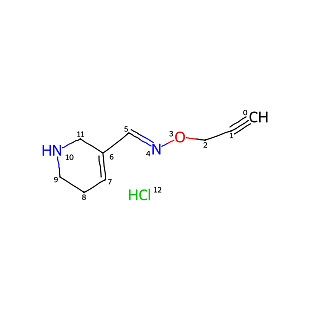 C#CCO/N=C/C1=CCCNC1.Cl